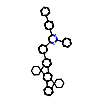 c1ccc(-c2ccc(-c3cc(-c4cccc(-c5ccc6c(c5)C5(CCCCC5)c5cc7c(cc5-6)C5(CCCCC5)c5ccccc5-7)c4)nc(-c4ccccc4)n3)cc2)cc1